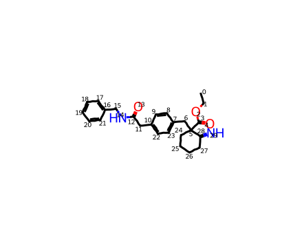 CCOC(=O)C1(Cc2ccc(CC(=O)NCc3ccccc3)cc2)CCCCC1=N